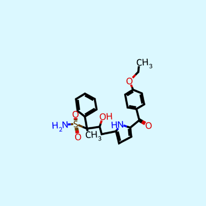 CCOc1ccc(C(=O)c2ccc(CC(O)C(C)(c3ccccc3)S(N)(=O)=O)[nH]2)cc1